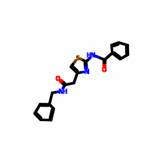 O=C(Cc1csc(NC(=O)c2ccccc2)n1)NCc1ccccc1